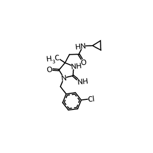 CC1(CC(=O)NC2CC2)NC(=N)N(Cc2cccc(Cl)c2)C1=O